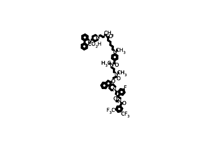 CN(CCN1CCC(N(C(=O)O)c2ccccc2-c2ccccc2)CC1)C(=O)CCCCCN(C)c1ccc(C(=O)N(C)CCCN(C)C(=O)CO[C@H]2Cc3ccccc3C23CCN(CC[C@@]2(c4ccc(F)cc4)CN(C(=O)c4cc(C(F)(F)F)cc(C(F)(F)F)c4)CO2)CC3)cc1